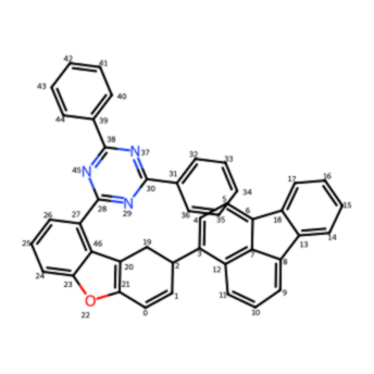 C1=CC(c2ccc3c4c(cccc24)-c2ccccc2-3)Cc2c1oc1cccc(-c3nc(-c4ccccc4)nc(-c4ccccc4)n3)c21